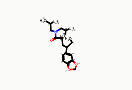 CC[C](CCC(=O)N(CC(C)C)CC(C)C)c1ccc2c(c1)OCO2